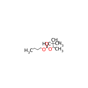 CCCCOC(=O)O[C@H](C)C(C)(C)C